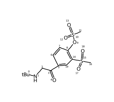 CC(C)(C)NCC(=O)c1ccc(OS(C)(=O)=O)c(S(C)(=O)=O)c1